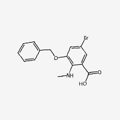 CNc1c(OCc2ccccc2)cc(Br)cc1C(=O)O